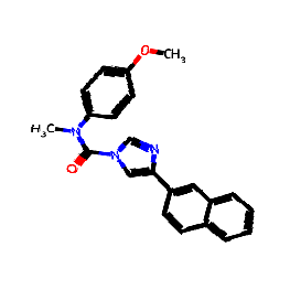 COc1ccc(N(C)C(=O)n2cnc(-c3ccc4ccccc4c3)c2)cc1